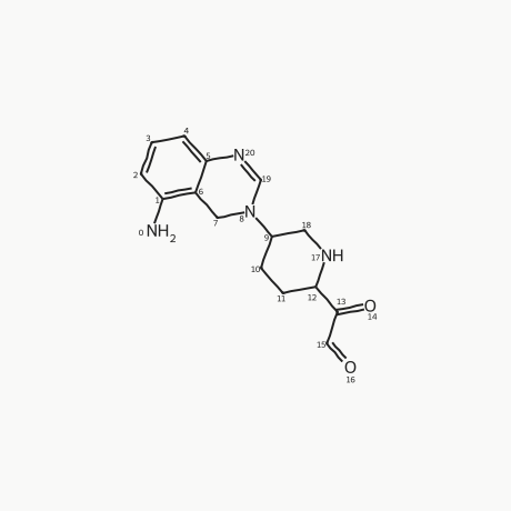 Nc1cccc2c1CN(C1CCC(C(=O)C=O)NC1)C=N2